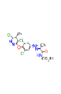 CCOC(=O)NC(=O)/C(C#N)=N/Nc1cc(Cl)c(Oc2cc(C(C)C)c(Cl)nn2)c(Cl)c1